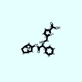 CN1C2CCC1CC(OC(=O)C(NCc1ccc(C(=O)O)s1)c1ccccc1)C2